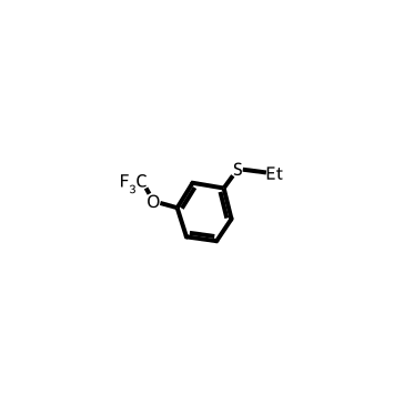 CCSc1cccc(OC(F)(F)F)c1